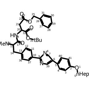 CCCCCCCOc1ccc(-c2cnc(-c3ccc(CC(NC)C(=O)NC(CC(=O)OCc4ccccc4)C(=O)OC(C)(C)C)cc3)nc2)cc1